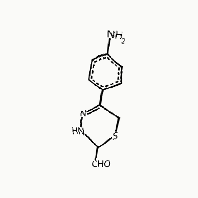 Nc1ccc(C2=NNC(C=O)SC2)cc1